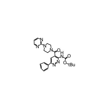 CC(C)(C)OC(=O)Nc1nnc(-c2ccccc2)cc1C(=O)N1CCN(c2ncccn2)CC1